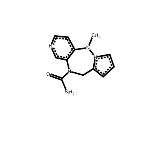 CN1c2ccncc2N(C(N)=O)Cc2cccn21